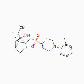 Cc1ccccc1N1CCN(S(=O)(=O)CC23CCC(CC2(O)C(C)C#N)C3(C)C)CC1